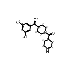 O=C(c1cc(Cl)cc(Cl)c1)C1CCN(C(=O)C2CCNCC2)CC1